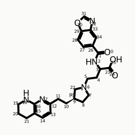 O=C(NC(CCN1CC[C@@H](CCc2ccc3c(n2)NCCC3)C1)C(=O)O)c1ccc2ocnc2c1